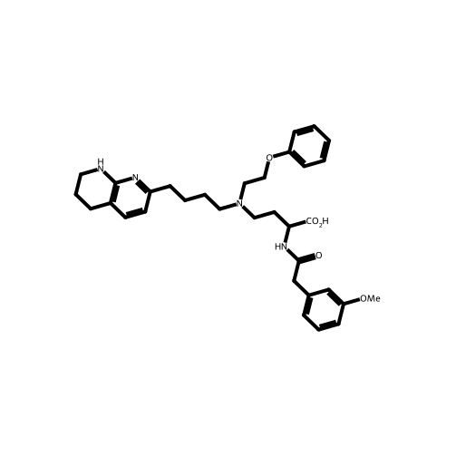 COc1cccc(CC(=O)NC(CCN(CCCCc2ccc3c(n2)NCCC3)CCOc2ccccc2)C(=O)O)c1